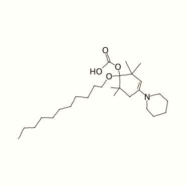 CCCCCCCCCCCOC1(OC(=O)O)C(C)(C)C=C(N2CCCCC2)CC1(C)C